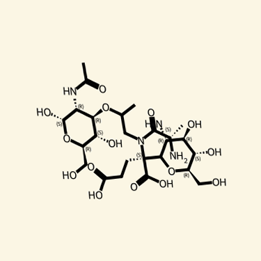 CC(=O)N[C@@H]1[C@@H](OC(C)CN(C(=O)[C@H](C)N)[C@](CCC(=O)O)(C(=O)O)C2O[C@H](CO)[C@@H](O)[C@H](O)[C@H]2N)[C@H](O)[C@@H](CO)O[C@@H]1O